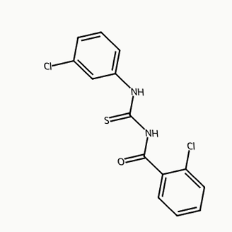 O=C(NC(=S)Nc1cccc(Cl)c1)c1ccccc1Cl